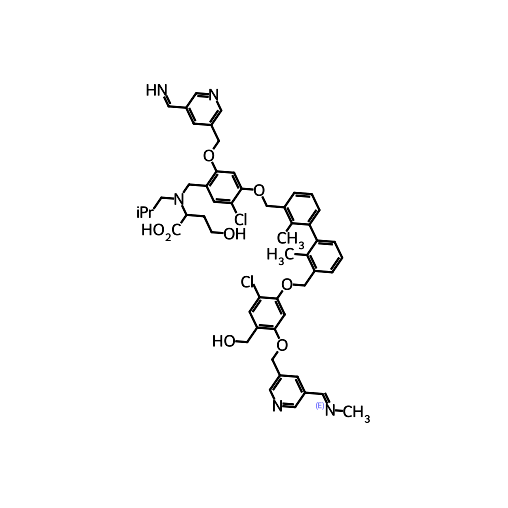 C/N=C/c1cncc(COc2cc(OCc3cccc(-c4cccc(COc5cc(OCc6cncc(C=N)c6)c(CN(CC(C)C)C(CCO)C(=O)O)cc5Cl)c4C)c3C)c(Cl)cc2CO)c1